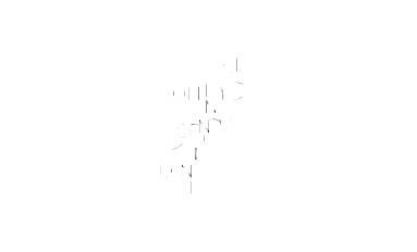 O=C(Nc1ccc(F)c(Cl)c1)N(CCCO)[C@H]1CCCc2[nH]c(=O)cc(C(F)(F)F)c21